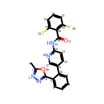 Cc1nnc(-c2ccccc2-c2ccc(NC(=O)c3c(F)cccc3F)nc2)o1